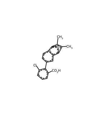 Cc1c(C)c2oc1c1ccc(-c3c(Cl)cccc3C(=O)O)cc21